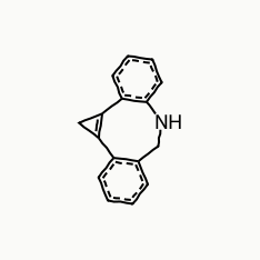 c1ccc2c(c1)CNc1ccccc1C1=C2C1